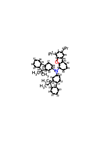 CC(C)c1cc(C(C)C)c2oc3c(N(c4ccc5c(c4)C(C)(C)c4ccccc4-5)c4ccc5c(c4)C(C)(C)c4ccccc4-5)cccc3c2c1